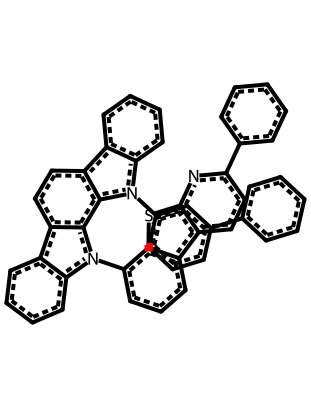 c1ccc(-c2cccc(-n3c4ccccc4c4ccc5c6ccccc6n(-c6cccc7c6sc6nc(-c8ccccc8)ccc67)c5c43)c2)cc1